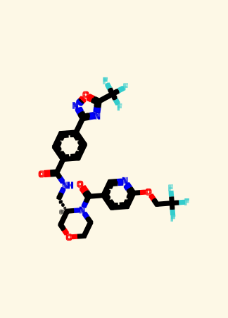 O=C(NC[C@H]1COCCN1C(=O)c1ccc(OCC(F)(F)F)nc1)c1ccc(-c2noc(C(F)(F)F)n2)cc1